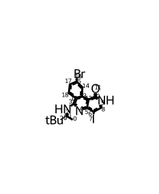 C[C@@H](Nc1nc2c(I)c[nH]c(=O)c2c2cc(Br)ccc12)C(C)(C)C